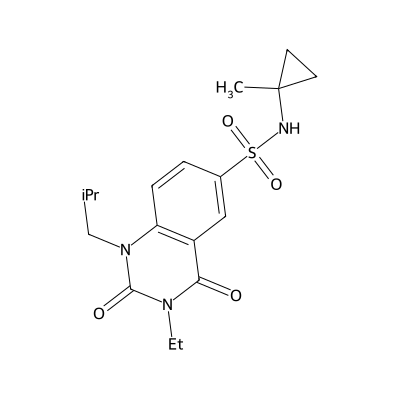 CCn1c(=O)c2cc(S(=O)(=O)NC3(C)CC3)ccc2n(CC(C)C)c1=O